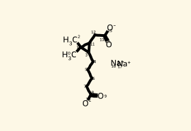 CC1(C)C(CCCCC(=O)[O-])C1CC(=O)[O-].[Na+].[Na+]